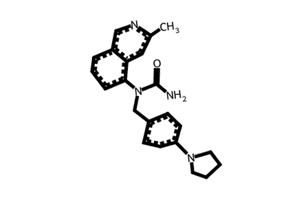 Cc1cc2c(N(Cc3ccc(N4CCCC4)cc3)C(N)=O)cccc2cn1